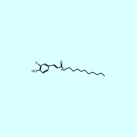 CCCCCCCCCCNC(=O)C=Cc1ccc(O)c(F)c1